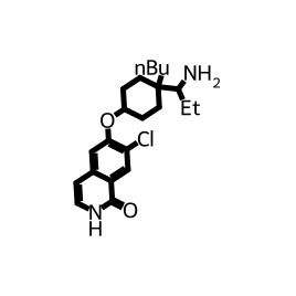 CCCCC1(C(N)CC)CCC(Oc2cc3cc[nH]c(=O)c3cc2Cl)CC1